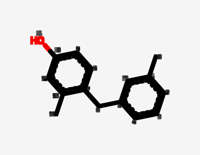 Cc1cccc(Cc2ccc(O)cc2C)c1